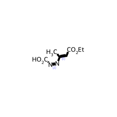 CCOC(=O)/C=C(C)/N=N\C(=O)O